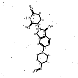 O=CC1CCN(c2ccc3c(c2)CN([C@@H]2CCC(=O)NC2=O)C3=O)CC1